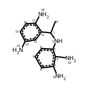 CC(Nc1cccc(N)c1N)c1cc(N)ccc1N